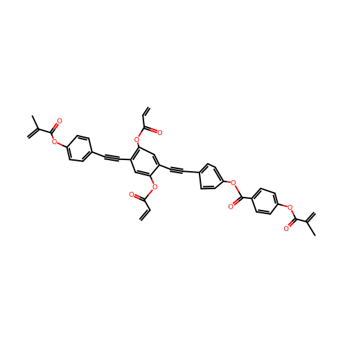 C=CC(=O)Oc1cc(C#Cc2ccc(OC(=O)c3ccc(OC(=O)C(=C)C)cc3)cc2)c(OC(=O)C=C)cc1C#Cc1ccc(OC(=O)C(=C)C)cc1